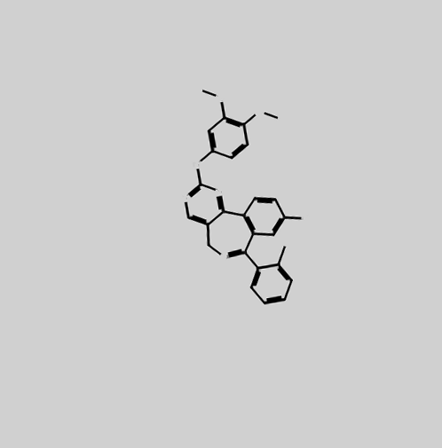 COc1ccc(Nc2ncc3c(n2)-c2ccc(Cl)cc2C(c2ccccc2C)=NC3)cc1OC